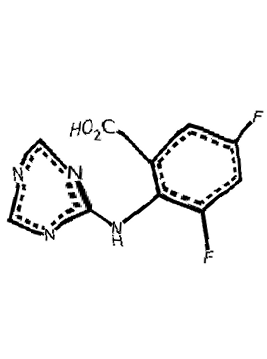 O=C(O)c1cc(F)cc(F)c1Nc1ncncn1